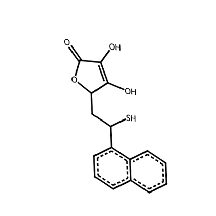 O=C1OC(CC(S)c2cccc3ccccc23)C(O)=C1O